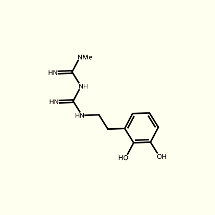 CNC(=N)NC(=N)NCCc1cccc(O)c1O